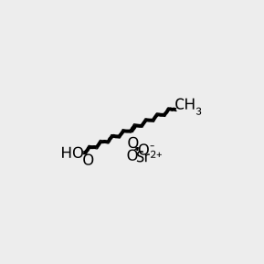 CCCCCCCCC=CCCCCCCCC(=O)O.O=C([O-])[O-].[Sr+2]